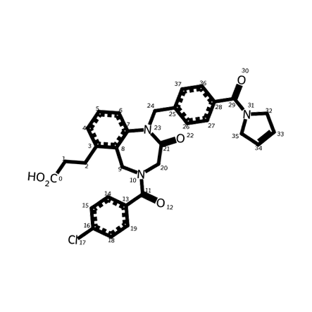 O=C(O)CCc1cccc2c1CN(C(=O)c1ccc(Cl)cc1)CC(=O)N2Cc1ccc(C(=O)N2CC=CC2)cc1